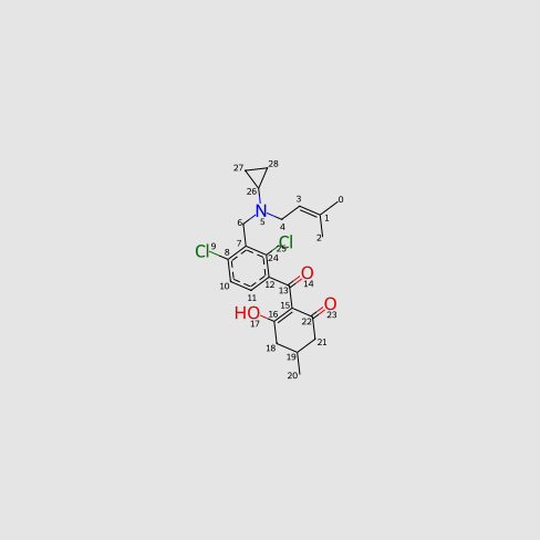 CC(C)=CCN(Cc1c(Cl)ccc(C(=O)C2=C(O)CC(C)CC2=O)c1Cl)C1CC1